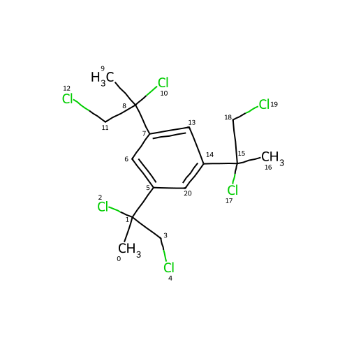 CC(Cl)(CCl)c1cc(C(C)(Cl)CCl)cc(C(C)(Cl)CCl)c1